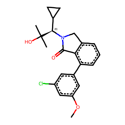 COc1cc(Cl)cc(-c2cccc3c2C(=O)N([C@H](C2CC2)C(C)(C)O)C3)c1